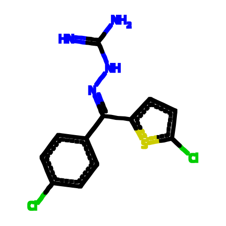 N=C(N)NN=C(c1ccc(Cl)cc1)c1ccc(Cl)s1